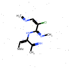 C=N/C=C(Cl)\C(=N/C)N/C(=C/NC)C(C)=N